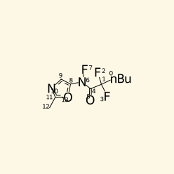 CCCCC(F)(F)C(=O)N(F)c1cnc(C)o1